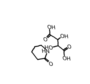 O=C(O)C(O)C(O)C(=O)O.O=C1CCCCN1